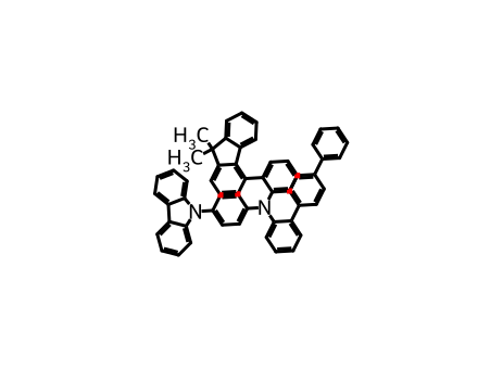 CC1(C)c2ccccc2-c2c(-c3ccccc3N(c3ccc(-n4c5ccccc5c5ccccc54)cc3)c3ccccc3-c3ccc(-c4ccccc4)cc3)cccc21